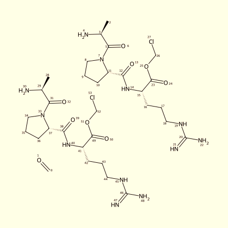 C=O.C[C@H](N)C(=O)N1CCC[C@H]1C(=O)N[C@@H](CCCNC(=N)N)C(=O)OCCl.C[C@H](N)C(=O)N1CCC[C@H]1C(=O)N[C@@H](CCCNC(=N)N)C(=O)OCCl